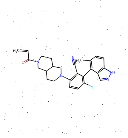 C=CC(=O)N1CCC2CN(c3ccc(F)c(-c4c(C)ccc5[nH]ncc45)c3C#N)CCC2C1